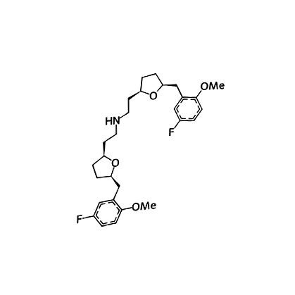 COc1ccc(F)cc1C[C@H]1CC[C@@H](CCNCC[C@H]2CC[C@@H](Cc3cc(F)ccc3OC)O2)O1